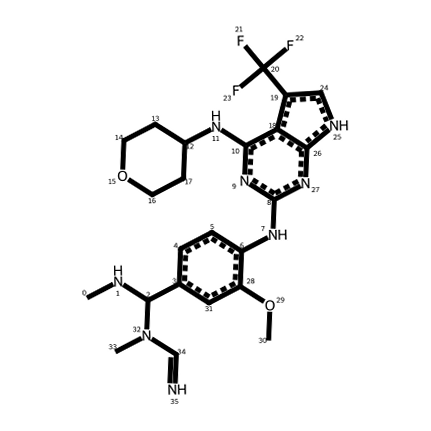 CNC(c1ccc(Nc2nc(NC3CCOCC3)c3c(C(F)(F)F)c[nH]c3n2)c(OC)c1)N(C)C=N